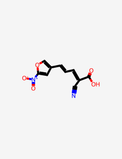 N#C/C(=C\C=C\c1coc([N+](=O)[O-])c1)C(=O)O